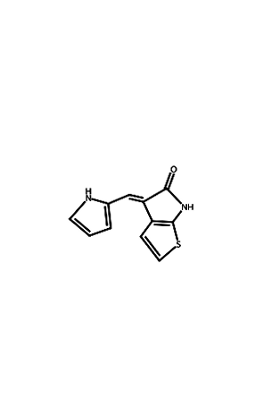 O=C1Nc2sccc2/C1=C\c1ccc[nH]1